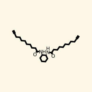 C#CCCCCCCCCC(=O)N[C@@H]1CCCC[C@H]1NC(=O)CCCCCCCCC#C